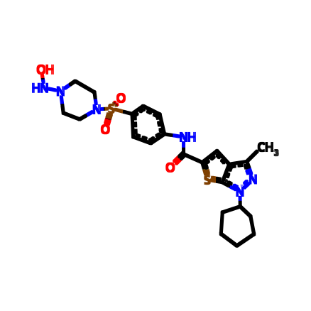 Cc1nn(C2CCCCC2)c2sc(C(=O)Nc3ccc(S(=O)(=O)N4CCN(NO)CC4)cc3)cc12